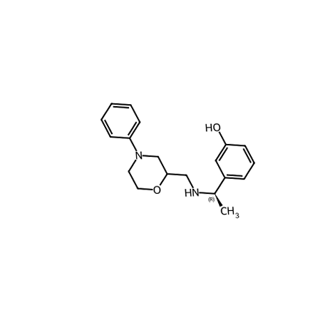 C[C@@H](NCC1CN(c2ccccc2)CCO1)c1cccc(O)c1